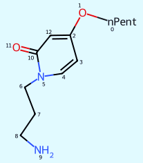 CCCCCOc1ccn(CCCN)c(=O)c1